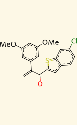 C=C(C(=O)c1cc2ccc(Cl)cc2s1)c1cc(OC)cc(OC)c1